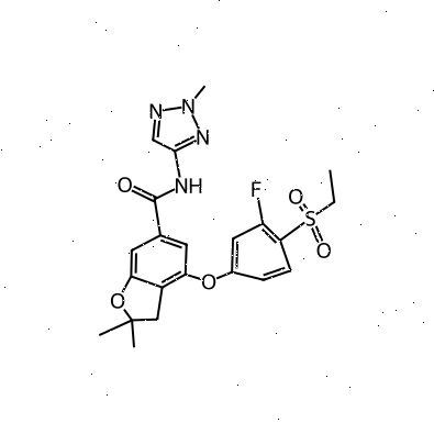 CCS(=O)(=O)c1ccc(Oc2cc(C(=O)Nc3cnn(C)n3)cc3c2CC(C)(C)O3)cc1F